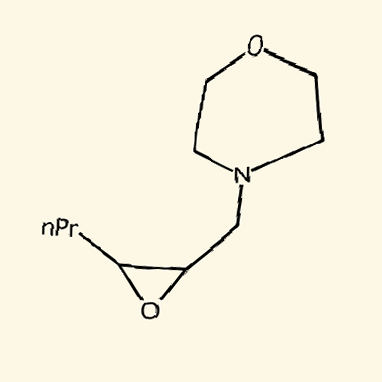 CCCC1OC1CN1CCOCC1